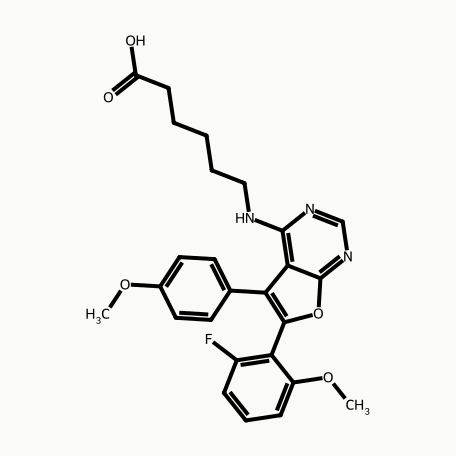 COc1ccc(-c2c(-c3c(F)cccc3OC)oc3ncnc(NCCCCCC(=O)O)c23)cc1